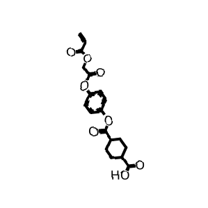 C=CC(=O)OCC(=O)Oc1ccc(OC(=O)C2CCC(C(=O)O)CC2)cc1